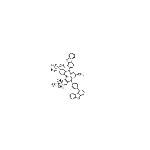 Cc1cc2c3c(c1)N(c1ccc4c(c1)oc1ccccc14)c1cc(C(C)(C)C)ccc1B3c1cc(C(C)(C)C)ccc1N2c1ccc(-c2cccc3oc4ccccc4c23)cc1